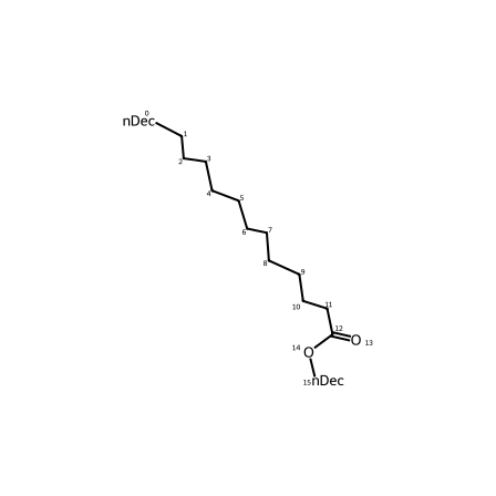 CCCCCCCCCCCCCCCCCCCCCC(=O)OCCCCCCCCCC